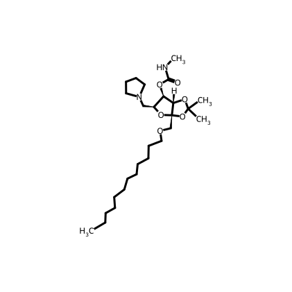 CCCCCCCCCCCCOC[C@@]12O[C@@H](CN3CCCC3)[C@@H](OC(=O)NC)[C@@H]1OC(C)(C)O2